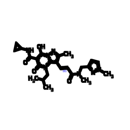 Cc1nn2c(O)c(C(=O)NC3CC3)c(=O)n(CC(C)C)c2c1/C=C/C(=O)N(C)Cc1ccn(C)n1